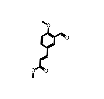 COC(=O)/C=C/c1ccc(OC)c(C=O)c1